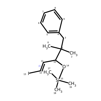 CC(C)(Cc1ccccc1)C(/C=C/I)O[Si](C)(C)C